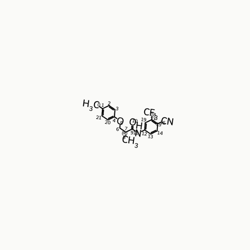 Cc1ccc(OC[C@@H](C)C(=O)Nc2ccc(C#N)c(C(F)(F)F)c2)cc1